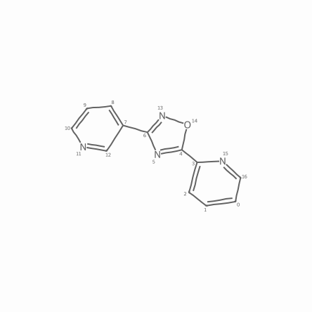 c1ccc(-c2nc(-c3cccnc3)no2)nc1